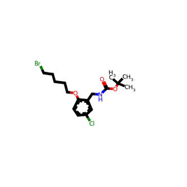 CC(C)(C)OC(=O)NCc1cc(Cl)ccc1OCCCCCBr